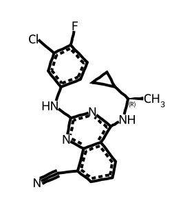 C[C@@H](Nc1nc(Nc2ccc(F)c(Cl)c2)nc2c(C#N)cccc12)C1CC1